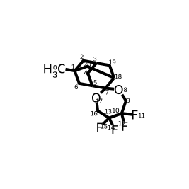 CC12CC3CC(C1)C1(OCC(F)(F)C(F)(F)CO1)C(C3)C2